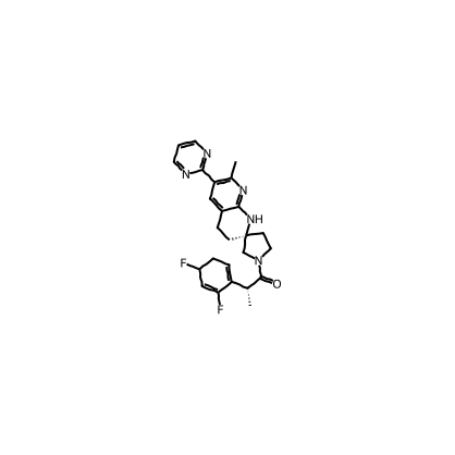 Cc1nc2c(cc1-c1ncccn1)CC[C@@]1(CCN(C(=O)[C@H](C)C3=CCC(F)C=C3F)C1)N2